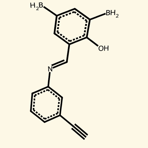 Bc1cc(B)c(O)c(/C=N/c2cccc(C#C)c2)c1